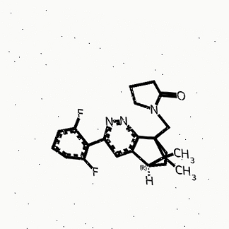 CC1(C)[C@H]2CCC1(CN1CCCC1=O)c1nnc(-c3c(F)cccc3F)cc12